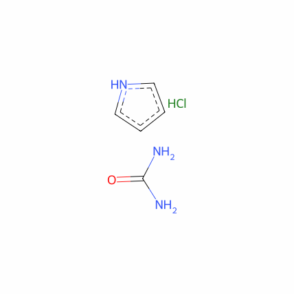 Cl.NC(N)=O.c1cc[nH]c1